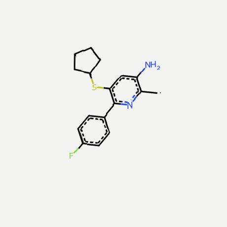 [CH2]c1nc(-c2ccc(F)cc2)c(SC2CCCC2)cc1N